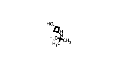 CC(C)(C)N[C@H]1C[C@H](O)C1